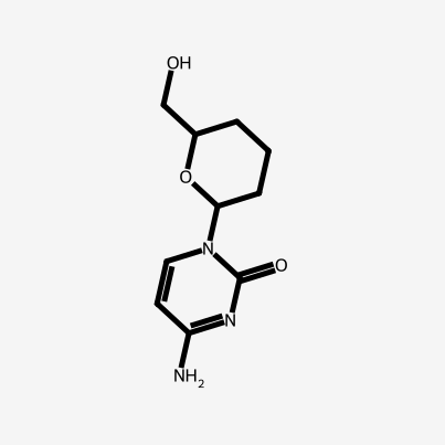 Nc1ccn(C2CCCC(CO)O2)c(=O)n1